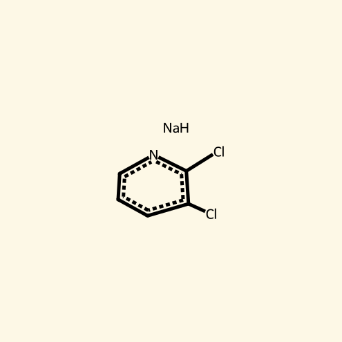 Clc1cccnc1Cl.[NaH]